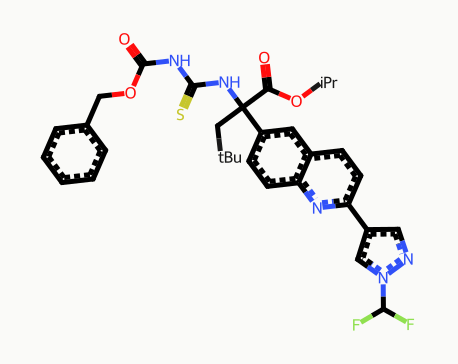 CC(C)OC(=O)C(CC(C)(C)C)(NC(=S)NC(=O)OCc1ccccc1)c1ccc2nc(-c3cnn(C(F)F)c3)ccc2c1